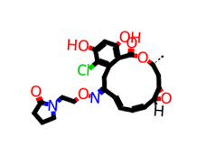 C[C@@H]1CC2O[C@@H]2\C=C/C=C/C(=N/OCCN2CCCC2=O)Cc2c(Cl)c(O)cc(O)c2C(=O)O1